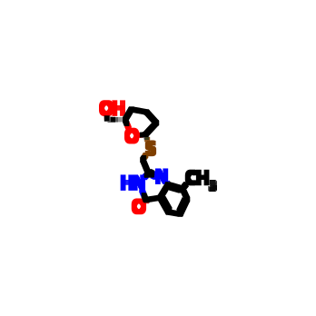 Cc1cccc2c(=O)[nH]c(CS[C@H]3CCC[C@@H](CO)O3)nc12